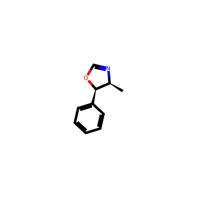 C[C@@H]1N=CO[C@@H]1c1ccccc1